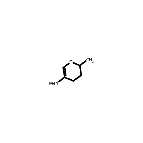 CNC1=COC(C)CC1